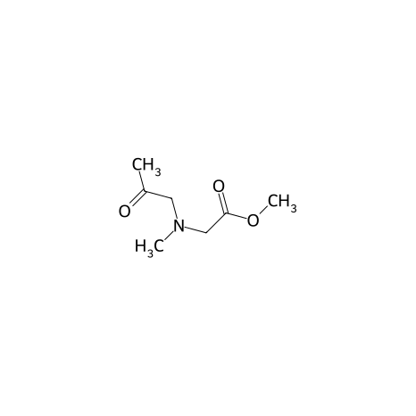 COC(=O)CN(C)CC(C)=O